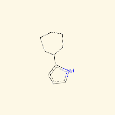 c1c[nH]c(C2CCCCC2)c1